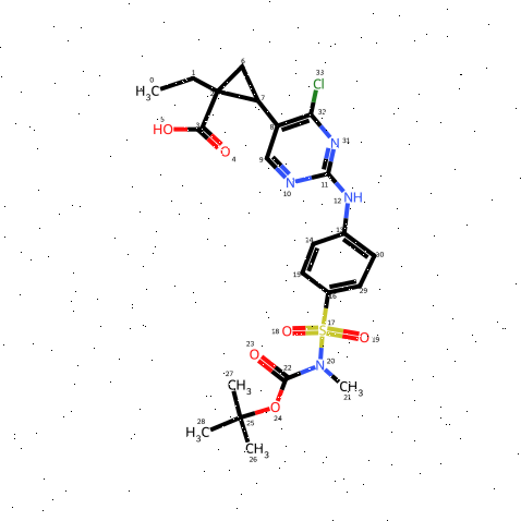 CCC1(C(=O)O)CC1c1cnc(Nc2ccc(S(=O)(=O)N(C)C(=O)OC(C)(C)C)cc2)nc1Cl